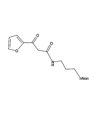 CCCCCCCCCCCCNC(=O)CC(=O)c1ccco1